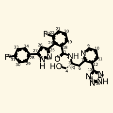 O=C(N[C@@H](CO)Cc1ncccc1-c1nn[nH]n1)c1cccc(F)c1-c1cc(-c2ccc(F)cc2)[nH]n1